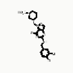 O=C(O)N1CCC[C@H](Cn2ncc3nc(NCc4ccc(Cl)c(Cl)c4)[nH]c(=O)c32)C1